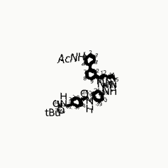 CC(=O)Nc1cccc(-c2cccc(-c3cc4ccnn4c(Nc4ccc(NC(=O)c5ccc(CNC(=O)OC(C)(C)C)cc5)cc4)n3)c2)c1